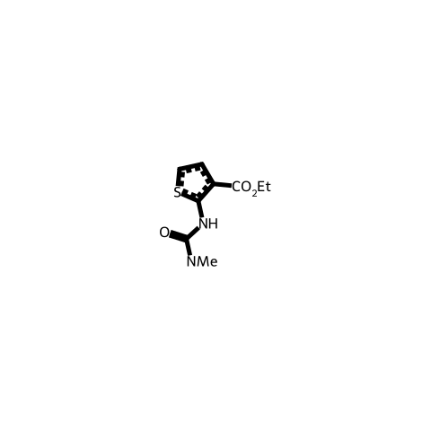 CCOC(=O)c1ccsc1NC(=O)NC